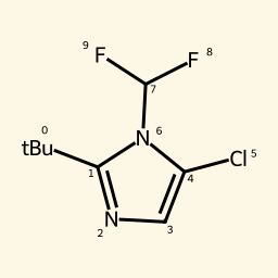 CC(C)(C)c1ncc(Cl)n1C(F)F